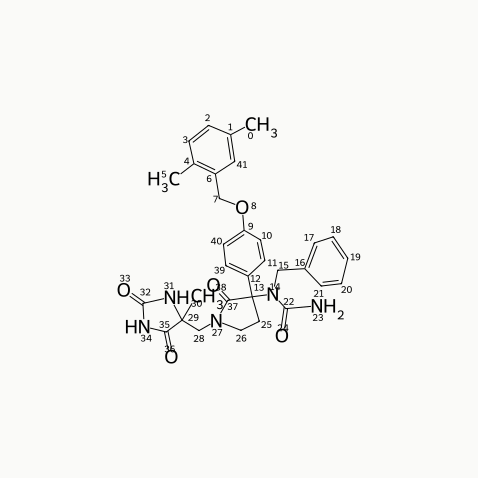 Cc1ccc(C)c(COc2ccc(C3(N(Cc4ccccc4)C(N)=O)CCN(CC4(C)NC(=O)NC4=O)C3=O)cc2)c1